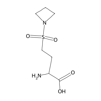 NC(CCS(=O)(=O)N1CCC1)C(=O)O